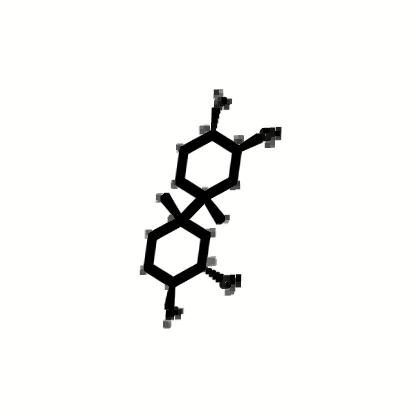 CC(C)[C@H]1CC[C@](C)([C@]2(C)CC[C@H](C(C)C)[C@@H](O)C2)C[C@@H]1O